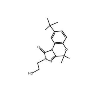 CC(C)(C)c1ccc2c(c1)-n1c(nn(CCO)c1=O)C(C)(C)O2